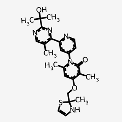 Cc1cnc(C(C)(C)O)nc1-c1cc(-n2c(C)cc(OCC3(C)NC=CS3)c(C)c2=O)ccn1